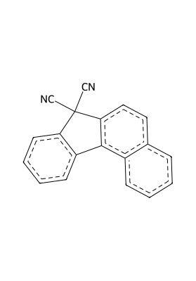 N#CC1(C#N)c2ccccc2-c2c1ccc1ccccc21